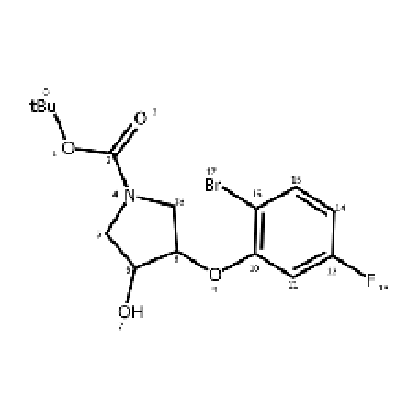 CC(C)(C)OC(=O)N1CC(O)C(Oc2cc(F)ccc2Br)C1